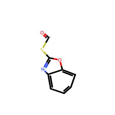 O=[C]Sc1nc2ccccc2o1